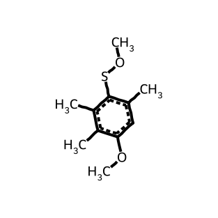 COSc1c(C)cc(OC)c(C)c1C